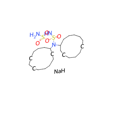 N=S(=O)(OS(N)(=O)=O)N(C1CCCCCCCCCCC1)C1CCCCCCCCCCC1.[NaH]